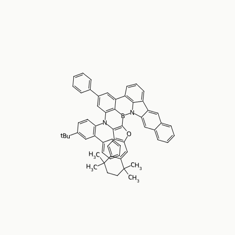 CC(C)(C)c1ccc(N2c3cc(-c4ccccc4)cc4c3B(c3oc5cc6c(cc5c32)C(C)(C)CCC6(C)C)n2c3cc5ccccc5cc3c3cccc-4c32)c(-c2ccccc2)c1